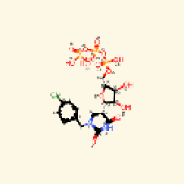 O=c1[nH]c(=O)n(Cc2ccc(Cl)cc2)cc1[C@@H]1O[C@H](COP(=O)(O)OP(=O)(O)OP(=O)(O)O)[C@@H](O)[C@H]1O